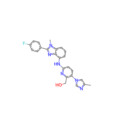 Cc1cn(-c2ccc(Nc3cccc4c3nc(-c3ccc(F)cc3)n4C)nc2CO)cn1